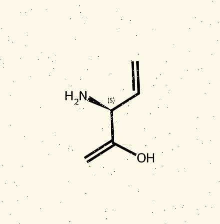 C=C[C@H](N)C(=C)O